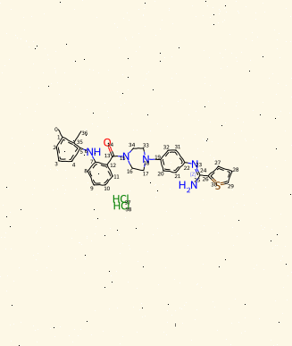 Cc1cccc(Nc2ccccc2C(=O)N2CCN(c3ccc(/N=C(\N)c4cccs4)cc3)CC2)c1C.Cl.Cl